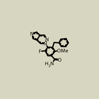 COc1c(C(N)=O)cc(F)c(-n2cc3cncc-3cn2)c1Cc1ccccc1